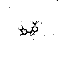 NC(=O)N1CCc2noc(-c3cc(F)c(F)c(F)c3)c2C1